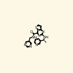 C[C@H](Nc1nc(C(=O)NCc2cncnc2)c2sccc2n1)c1cccnc1